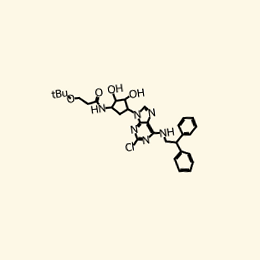 CC(C)(C)OCCC(=O)NC1CC(n2cnc3c(NCC(c4ccccc4)c4ccccc4)nc(Cl)nc32)C(O)C1O